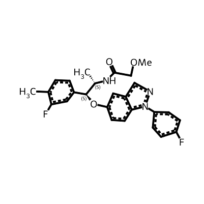 COCC(=O)N[C@@H](C)[C@@H](Oc1ccc2c(cnn2-c2ccc(F)cc2)c1)c1ccc(C)c(F)c1